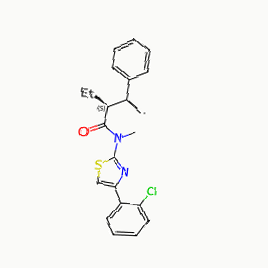 [CH2]C[C@H](C(=O)N(C)c1nc(-c2ccccc2Cl)cs1)C([CH2])c1ccccc1